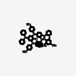 Cc1cc(C(C)(C)C)cc(C)c1B1N(c2ccccc2)c2ccc(N(c3ccc(C(C)(C)C)cc3)c3cc(N(c4ccccc4)c4ccccc4)cc(N(c4ccc(C(C)(C)C)cc4)c4ccc(C(C)(C)C)cc4)c3Cl)cc2N1c1ccccc1